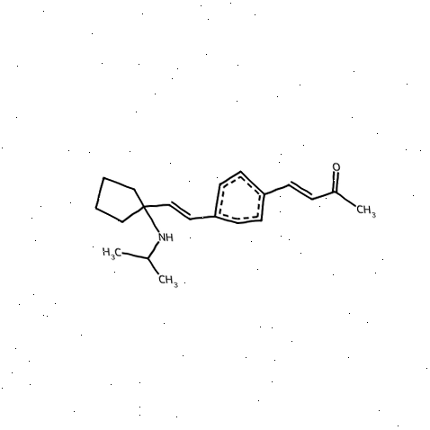 CC(=O)/C=C/c1ccc(/C=C/C2(NC(C)C)CCCC2)cc1